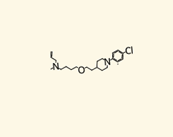 C=CCN(C)CCCCOCCC1CCN(c2[c]cc(Cl)cc2)CC1